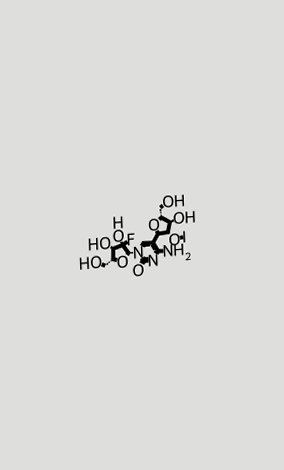 Nc1nc(=O)n([C@@H]2O[C@H](CO)[C@@H](O)[C@]2(O)F)cc1C1O[C@H](CO)[C@@H](O)[C@@H]1OI